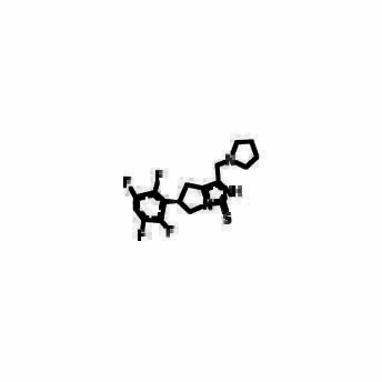 Fc1cc(F)c(F)c([C@H]2Cc3c(CN4CCCC4)[nH]c(=S)n3C2)c1F